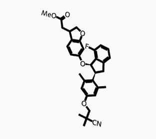 COC(=O)CC1COc2cc(O[C@H]3c4c(F)cccc4C[C@H]3c3c(C)cc(OCC(C)(C)C#N)cc3C)ccc21